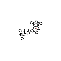 C1=CCC(C2NC(c3ccccc3)=NC(c3ccc4c(c3)oc3ccc(-c5cccc6oc7cc(-n8c9ccccc9c9ccc%10c%11ccccc%11n(-c%11ccccc%11)c%10c98)ccc7c56)cc34)N2)C=C1